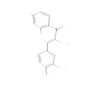 Cc1ccc2c(=O)c(O)c(-c3ccc(C)c(O)c3)oc2c1